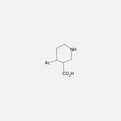 CC(=O)C1CCNCC1C(=O)O